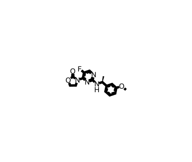 COc1cccc([C@H](C)Nc2ncc(F)c(N3CCOC3=O)n2)c1